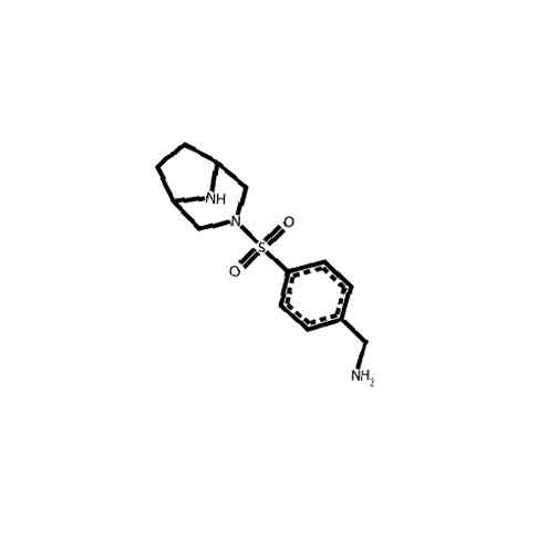 NCc1ccc(S(=O)(=O)N2CC3CCC(C2)N3)cc1